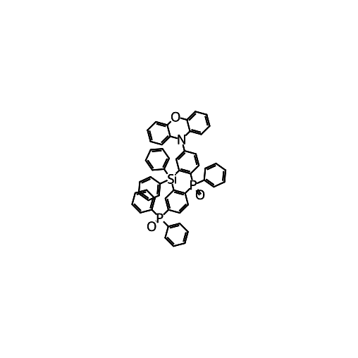 O=P(c1ccccc1)(c1ccccc1)c1ccc2c(c1)[Si](c1ccccc1)(c1ccccc1)c1cc(N3c4ccccc4Oc4ccccc43)ccc1P2(=O)c1ccccc1